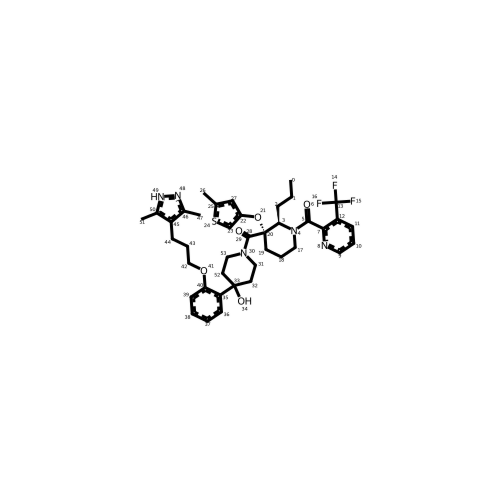 CCC[C@H]1N(C(=O)c2ncccc2C(F)(F)F)CCC[C@@]1(Oc1csc(C)c1)C(=O)N1CCC(O)(c2ccccc2OCCCc2c(C)n[nH]c2C)CC1